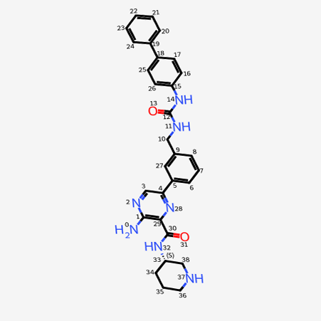 Nc1ncc(-c2cccc(CNC(=O)Nc3ccc(-c4ccccc4)cc3)c2)nc1C(=O)N[C@H]1CCCNC1